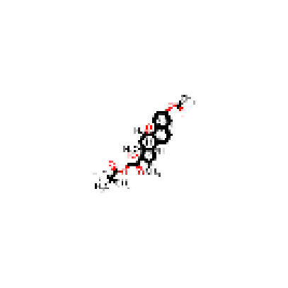 CC(=O)OC1=CC2=CC[C@H]3[C@@H]4C[C@@H](C)[C@](O)(C(=O)COC(=O)C(C)(C)C)[C@@]4(C)C[C@@H]4O[C@@]43[C@@]2(C)C=C1